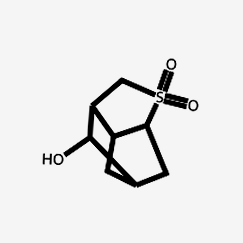 O=S1(=O)CC2C(O)C3CC2C1C3